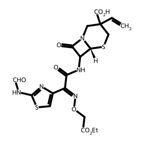 C=CC1(C(=O)O)CS[C@@H]2C(NC(=O)C(=NOCC(=O)OCC)c3csc(NC=O)n3)C(=O)N2C1